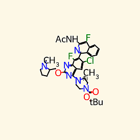 CC(=O)Nc1nc(-c2c(Cl)cc3c(N4CCN(C(=O)OC(C)(C)C)C[C@@H]4C)nc(OCC4CCCN4C)nc3c2F)c2ccccc2c1F